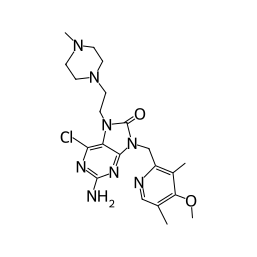 COc1c(C)cnc(Cn2c(=O)n(CCN3CCN(C)CC3)c3c(Cl)nc(N)nc32)c1C